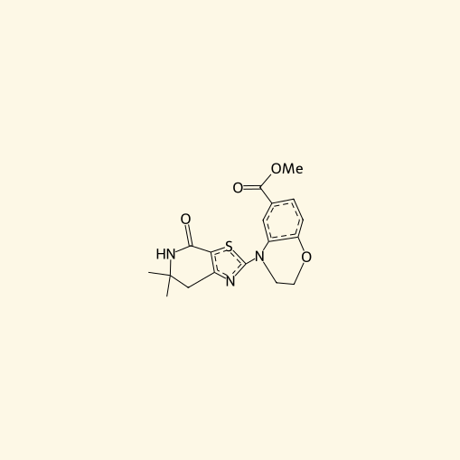 COC(=O)c1ccc2c(c1)N(c1nc3c(s1)C(=O)NC(C)(C)C3)CCO2